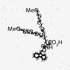 COCCOCCOCCOCCN(CCCC[C@@H](CC(=O)O)NC(=O)OCC1c2ccccc2-c2ccccc21)CCOCCOCCOCCOC